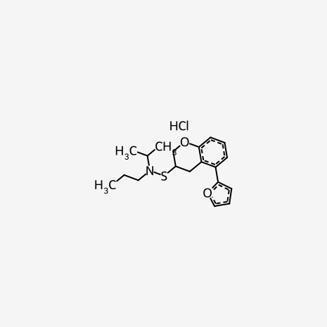 CCCN(SC1COc2cccc(-c3ccco3)c2C1)C(C)C.Cl